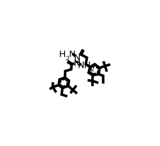 C=C(CCc1cc(C(C)(C)C)c(CC)c(C(C)(C)C)c1)N(N)N(N)C(=C)CCc1cc(C(C)(C)C)c(CC)c(C(C)(C)C)c1